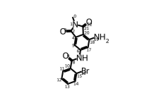 CN1C(=O)c2cc(NC(=O)c3ccccc3Br)cc(N)c2C1=O